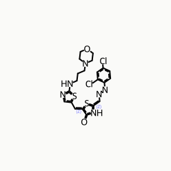 O=c1[nH]/c(=C/N=Nc2ccc(Cl)cc2Cl)s/c1=C\c1cnc(NCCCN2CCOCC2)s1